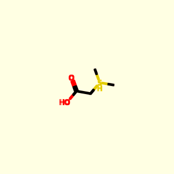 C[SH](C)CC(=O)O